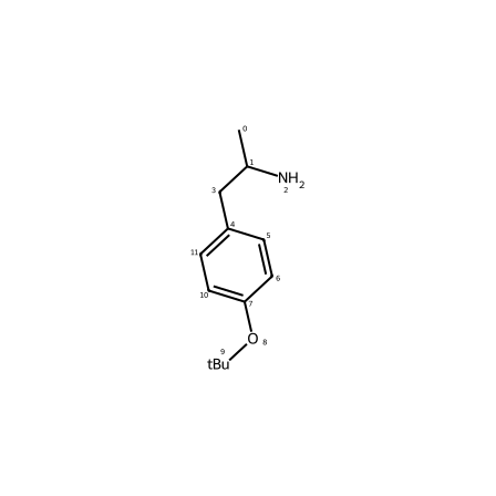 CC(N)Cc1ccc(OC(C)(C)C)cc1